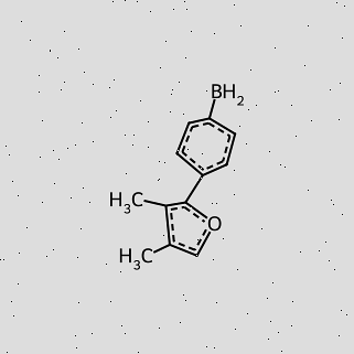 Bc1ccc(-c2occ(C)c2C)cc1